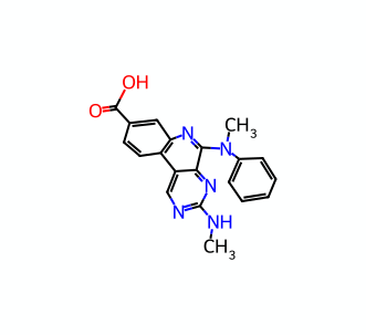 CNc1ncc2c(n1)c(N(C)c1ccccc1)nc1cc(C(=O)O)ccc12